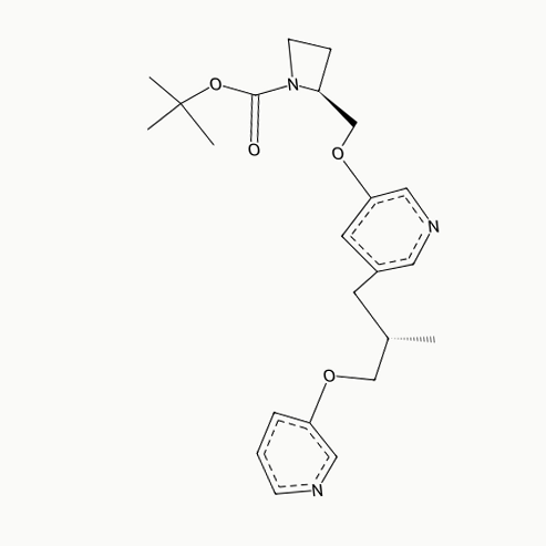 C[C@H](COc1cccnc1)Cc1cncc(OC[C@@H]2CCN2C(=O)OC(C)(C)C)c1